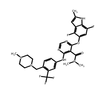 Cc1cc2c(F)c(Oc3ncnc(Nc4ccc(CN5CCN(C)CC5)c(C(F)(F)F)c4)c3C(=O)N(C)C)cc(F)c2[nH]1